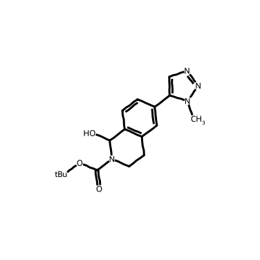 Cn1nncc1-c1ccc2c(c1)CCN(C(=O)OC(C)(C)C)C2O